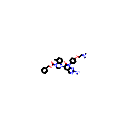 CNc1ncc2cc(N3CCN(C(=O)OCc4ccccc4)c4c(C)cccc43)c(=O)n(-c3ccc(OCCN(C)C)cc3)c2n1